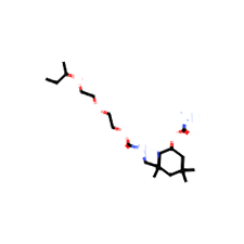 CCC(C)OCCOCCOC(=O)NCC1(C)CC(OC(N)=O)CC(C)(C)C1